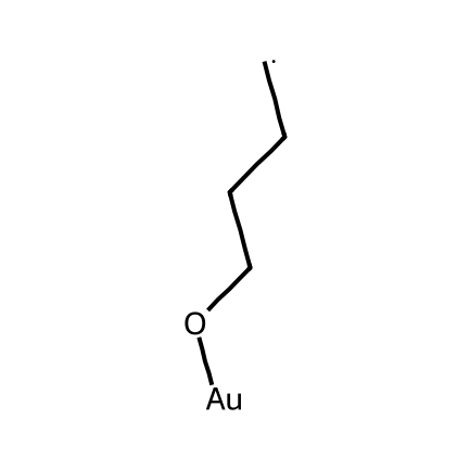 [CH2]CCC[O][Au]